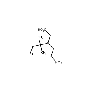 CNCCN(CC(=O)O)C(C)(C)CC(C)(C)C